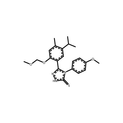 COCOc1cc(C)c(C(C)C)cc1-c1n[nH]c(=S)n1-c1ccc(OC)cc1